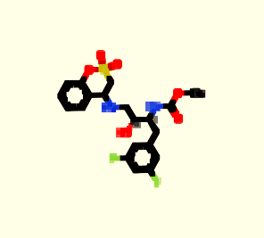 CC(C)(C)OC(=O)N[C@@H](Cc1cc(F)cc(F)c1)[C@H](O)CNC1CS(=O)(=O)Oc2ccccc21